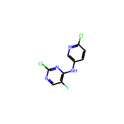 Fc1cnc(Cl)nc1Nc1ccc(Cl)nc1